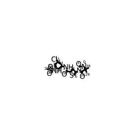 CN1C(=O)N(c2csc(C(=O)Nc3cc(Cl)cc(NS(C)(=O)=O)c3)c2)C(=O)C1(C)C